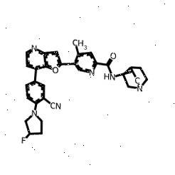 Cc1cc(C(=O)NC2CN3CCC2CC3)ncc1-c1cc2nccc(-c3ccc(N4CCC(F)C4)c(C#N)c3)c2o1